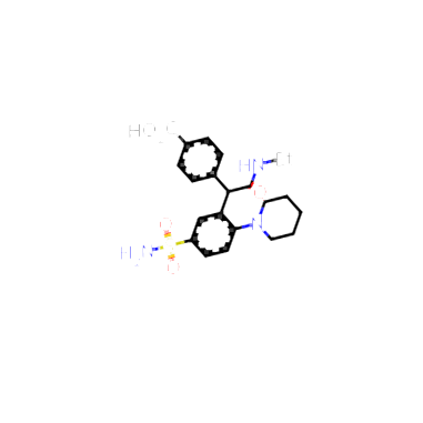 CCNC(=O)C(c1ccc(C(=O)O)cc1)c1cc(S(N)(=O)=O)ccc1N1CCCCC1